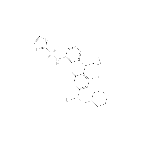 CCC(CC1CCOCC1)c1cc(O)c(C(c2cccc(NS(=O)(=O)c3ncc[nH]3)c2)C2CC2)c(=O)o1